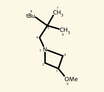 COC1CN(CC(C)(C)C(C)(C)C)C1